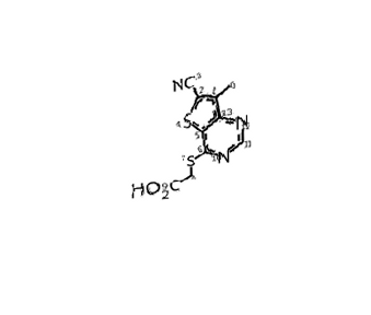 Cc1c(C#N)sc2c(SCC(=O)O)ncnc12